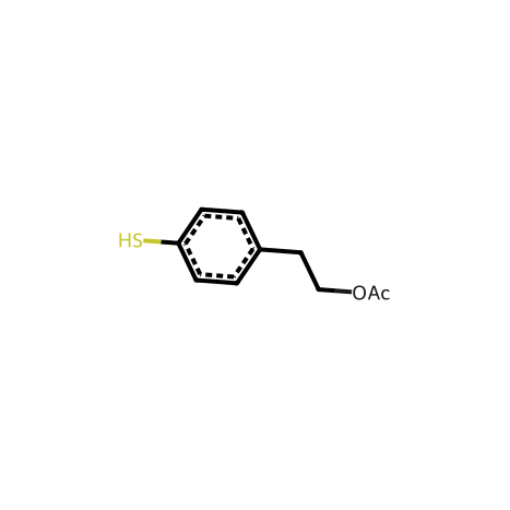 CC(=O)OCCc1ccc(S)cc1